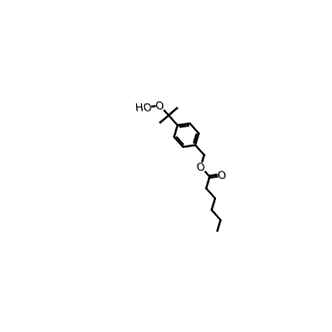 CCCCCC(=O)OCc1ccc(C(C)(C)OO)cc1